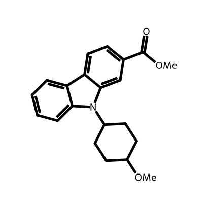 COC(=O)c1ccc2c3ccccc3n(C3CCC(OC)CC3)c2c1